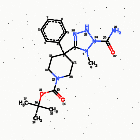 CN1C(C2(c3ccccc3)CCN(C(=O)OC(C)(C)C)CC2)=NNN1C(N)=O